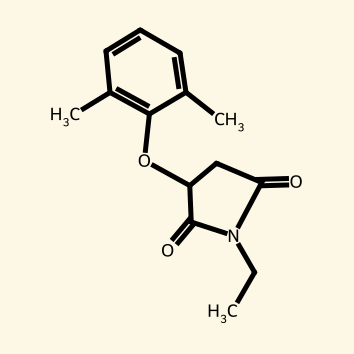 CCN1C(=O)CC(Oc2c(C)cccc2C)C1=O